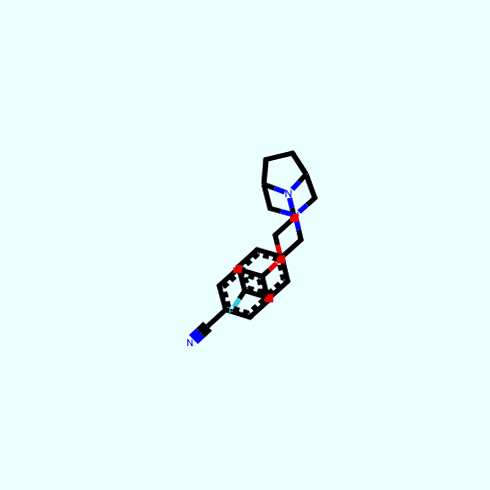 N#Cc1ccc(OCCN2C3CCC2CN(Cc2ccc(F)cc2)C3)cc1